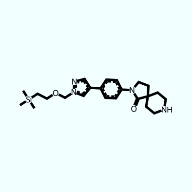 C[Si](C)(C)CCOCn1cc(-c2ccc(N3CCC4(CCNCC4)C3=O)cc2)cn1